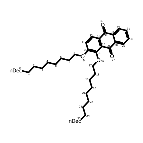 CCCCCCCCCCCCCCCCCCOc1ccc2c(c1OCCCCCCCCCCCCCCCCCC)C(=O)c1ccccc1C2=O